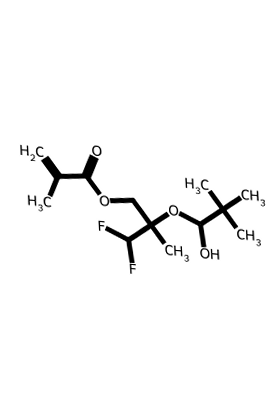 C=C(C)C(=O)OCC(C)(OC(O)C(C)(C)C)C(F)F